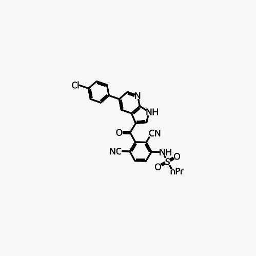 CCCS(=O)(=O)Nc1ccc(C#N)c(C(=O)c2c[nH]c3ncc(-c4ccc(Cl)cc4)cc23)c1C#N